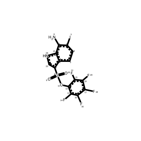 Nc1c(I)ccc2c(S(=O)(=O)Oc3c(F)c(F)c(F)c(F)c3F)c[nH]c12